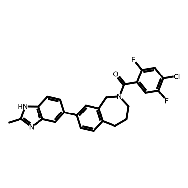 Cc1nc2cc(-c3ccc4c(c3)CN(C(=O)c3cc(F)c(Cl)cc3F)CCC4)ccc2[nH]1